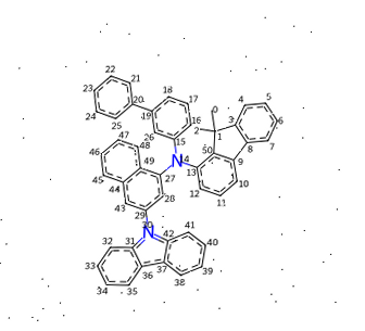 CC1(C)c2ccccc2-c2cccc(N(c3cccc(-c4ccccc4)c3)c3cc(-n4c5ccccc5c5ccccc54)cc4ccccc34)c21